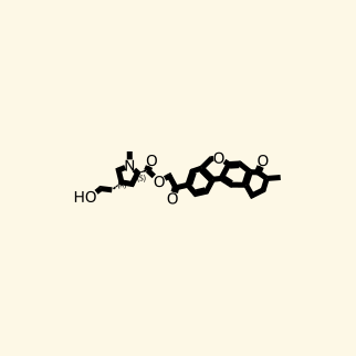 CC1CCc2cc3c(cc2C1=O)OCc1cc(C(=O)COC(=O)[C@@H]2C[C@H](CCO)CN2C)ccc1-3